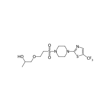 CC(O)COCCS(=O)(=O)N1CCN(c2ncc(C(F)(F)F)s2)CC1